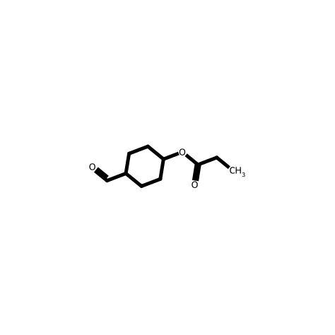 CCC(=O)OC1CCC(C=O)CC1